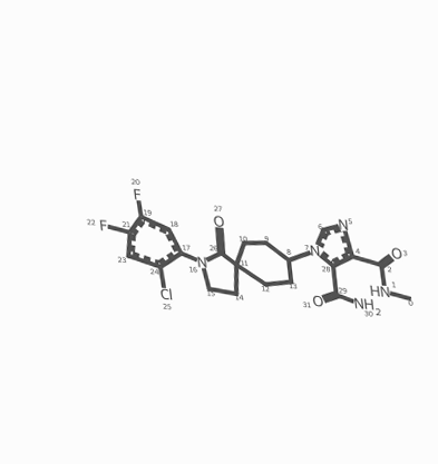 CNC(=O)c1ncn(C2CCC3(CC2)CCN(c2cc(F)c(F)cc2Cl)C3=O)c1C(N)=O